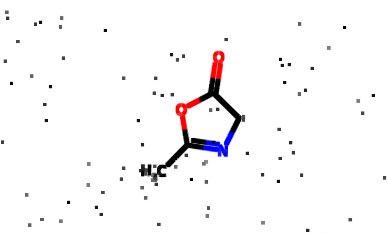 CC1=N[C]C(=O)O1